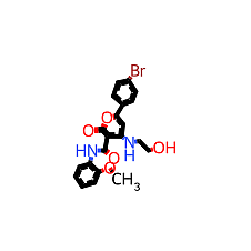 COc1ccccc1NC(=O)c1c(NCCO)cc(-c2ccc(Br)cc2)oc1=O